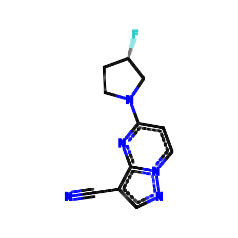 N#Cc1cnn2ccc(N3CC[C@H](F)C3)nc12